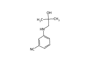 CC(C)(O)CNc1cccc(C#N)c1